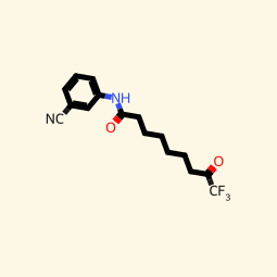 N#Cc1cccc(NC(=O)CCCCCCC(=O)C(F)(F)F)c1